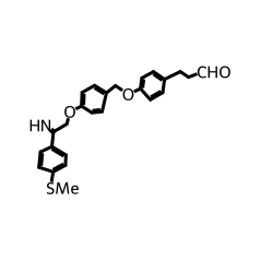 CSc1ccc(C(=N)COc2ccc(COc3ccc(CCC=O)cc3)cc2)cc1